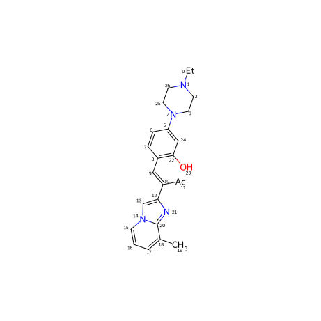 CCN1CCN(c2ccc(/C=C(\C(C)=O)c3cn4cccc(C)c4n3)c(O)c2)CC1